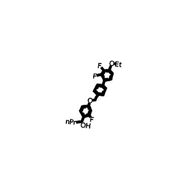 CCCC(O)c1ccc(OCc2ccc(-c3ccc(OCC)c(F)c3F)cc2)cc1F